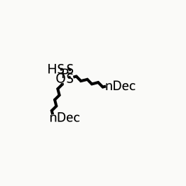 CCCCCCCCCCCCCCCCOP(=S)(S)SCCCCCCCCCCCCCCCC